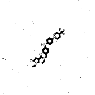 CCN1CC(C(=O)N(CC)Cc2ccc(Nc3ccc(N4CCC(C(F)(F)F)CC4)cc3)cc2)CC1=O